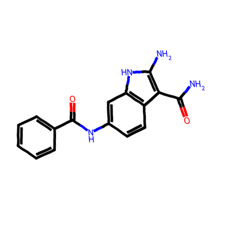 NC(=O)c1c(N)[nH]c2cc(NC(=O)c3ccccc3)ccc12